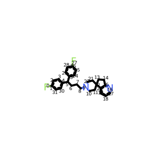 Fc1ccc(C(CCCN2CCC3(CCc4ncccc43)CC2)c2ccc(F)cc2)cc1